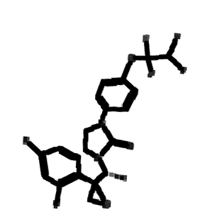 C[C@@H](N1CCN(c2ccc(OC(F)(F)C(F)F)cc2)C1=O)[C@@]1(c2ccc(F)cc2F)CO1